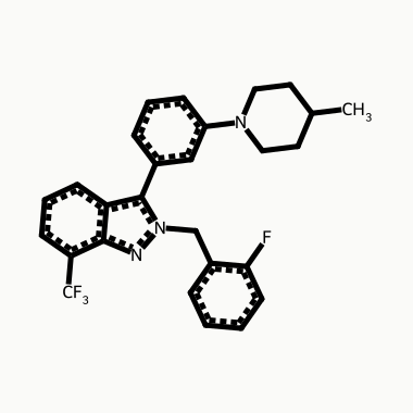 CC1CCN(c2cccc(-c3c4cccc(C(F)(F)F)c4nn3Cc3ccccc3F)c2)CC1